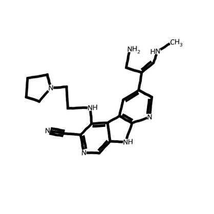 CN/C=C(\CN)c1cnc2[nH]c3cnc(C#N)c(NCCN4CCCC4)c3c2c1